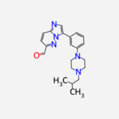 CC(C)CN1CCN(c2cccc(-c3cnc4ccc(C=O)nn34)c2)CC1